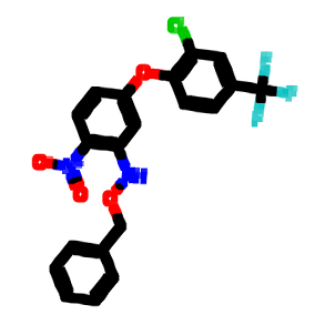 O=[N+]([O-])c1ccc(Oc2ccc(C(F)(F)F)cc2Cl)cc1NOCc1ccccc1